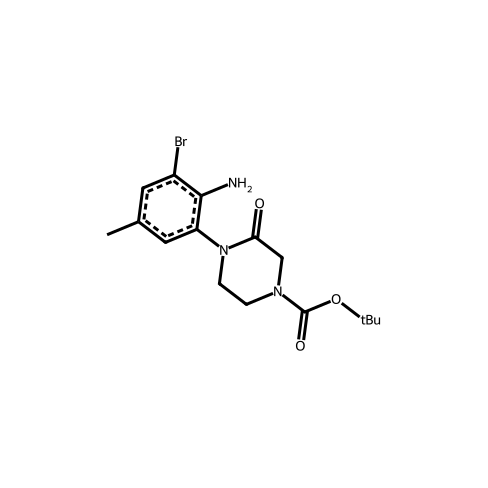 Cc1cc(Br)c(N)c(N2CCN(C(=O)OC(C)(C)C)CC2=O)c1